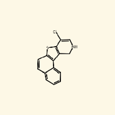 ClC1=CNCc2c1sc1ccc3ccccc3c21